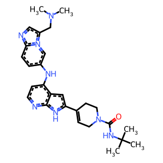 CN(C)Cc1cnc2ccc(Nc3ccnc4[nH]c(C5=CCN(C(=O)NC(C)(C)C)CC5)cc34)cn12